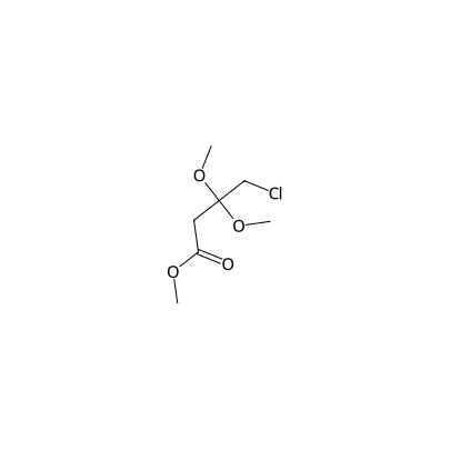 COC(=O)CC(CCl)(OC)OC